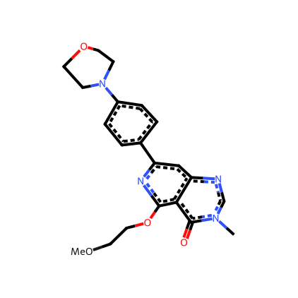 COCCOc1nc(-c2ccc(N3CCOCC3)cc2)cc2ncn(C)c(=O)c12